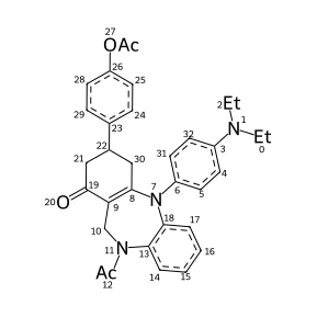 CCN(CC)c1ccc(N2C3=C(CN(C(C)=O)c4ccccc42)C(=O)CC(c2ccc(OC(C)=O)cc2)C3)cc1